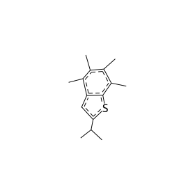 Cc1c(C)c(C)c2sc(C(C)C)cc2c1C